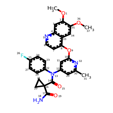 COc1cc2nccc(Oc3cc(N(C(=O)C4(C(N)=O)CC4)c4ccc(F)cc4)cc(C)n3)c2cc1OC